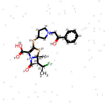 C[C@H](F)[C@H]1C(=O)N2C(C(=O)O)=C(SC3CCN(CC(=O)c4ccccc4)C3)S[C@H]12